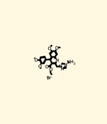 CCOC(=O)c1c(CN2C[N+](N)=C=N2)nc2cc(OC)c(OC)cc2c1-c1ccc(OC)c(OC)c1.[Br-]